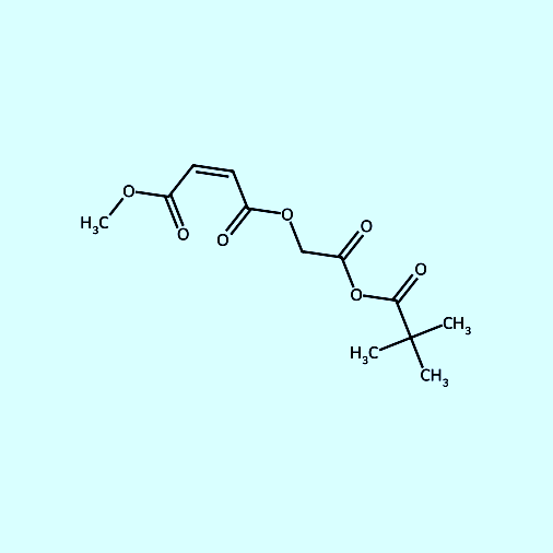 COC(=O)/C=C\C(=O)OCC(=O)OC(=O)C(C)(C)C